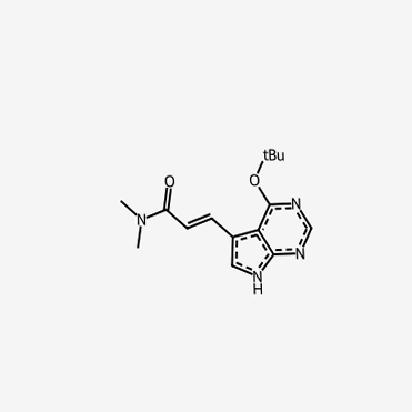 CN(C)C(=O)C=Cc1c[nH]c2ncnc(OC(C)(C)C)c12